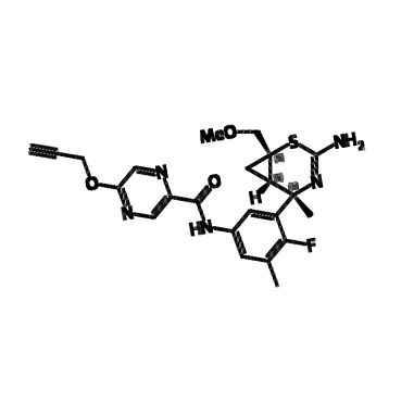 C#CCOc1cnc(C(=O)Nc2cc(C)c(F)c([C@@]3(C)N=C(N)S[C@@]4(COC)C[C@H]43)c2)cn1